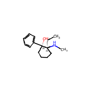 CC[C@]1(NC)CCCC[C@@]1(O)c1ccccc1